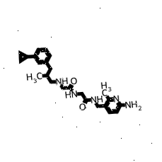 Cc1nc(N)ccc1CNC(=O)CNC(=O)CNCC(C)Cc1cccc(C2CC2)c1